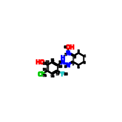 ON=C1CCCCC1=NNc1cc(O)c(Cl)cc1F